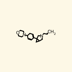 C=CCN1CC2CC2(C2=CCC(N3CCOCC3)C=C2)C1